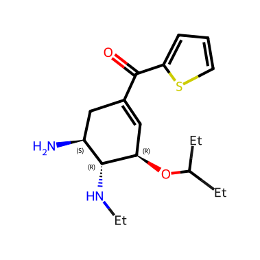 CCN[C@@H]1[C@@H](N)CC(C(=O)c2cccs2)=C[C@H]1OC(CC)CC